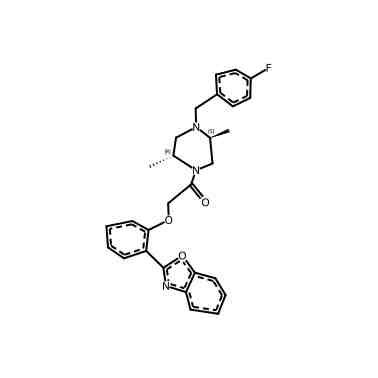 C[C@@H]1CN(Cc2ccc(F)cc2)[C@@H](C)CN1C(=O)COc1ccccc1-c1nc2ccccc2o1